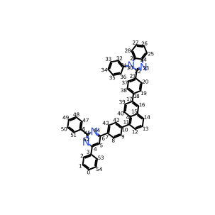 c1ccc(-c2cc(-c3ccc(-c4cccc5cc(-c6ccc(-c7nc8ccccc8n7-c7ccccc7)cc6)ccc45)cc3)nc(-c3ccccc3)n2)cc1